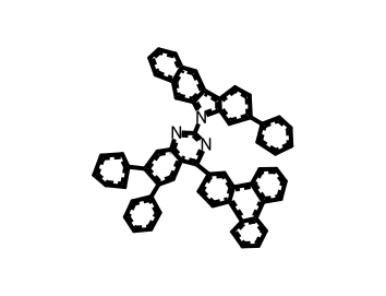 c1ccc(-c2ccc3c4cc5ccccc5cc4n(-c4nc(-c5ccc6c7ccccc7c7ccccc7c6c5)c5cc(-c6ccccc6)c(-c6ccccc6)cc5n4)c3c2)cc1